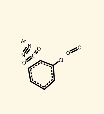 Clc1ccccc1.N#N.O=C=O.O=O.[Ar]